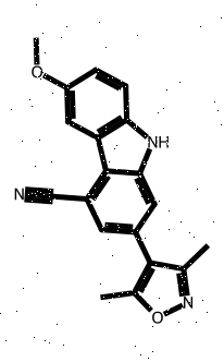 COc1ccc2[nH]c3cc(-c4c(C)noc4C)cc(C#N)c3c2c1